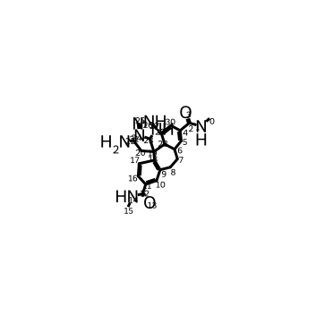 CNC(=O)C1=CC2CCc3cc(C(=O)NC)ccc3C(CCN)(C3N=NNN3)C2C=C1